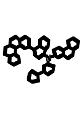 c1ccc(-c2cccc(N(c3ccc4c(ccc5ccccc54)c3)c3ccc(-c4ccc5ccc6ccc7ccccc7c6c5c4)c4ccccc34)c2)cc1